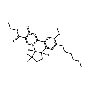 CCOC(=O)c1cn2c(cc1=O)-c1cc(OC)c(COCCOC)cc1[C@@H]1CCC(C)(C)[C@@H]12